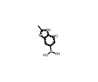 Cc1nc2cc(B(O)O)ccc2[nH]1.Cl